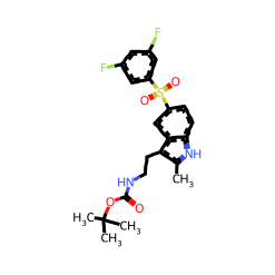 Cc1[nH]c2ccc(S(=O)(=O)c3cc(F)cc(F)c3)cc2c1CCNC(=O)OC(C)(C)C